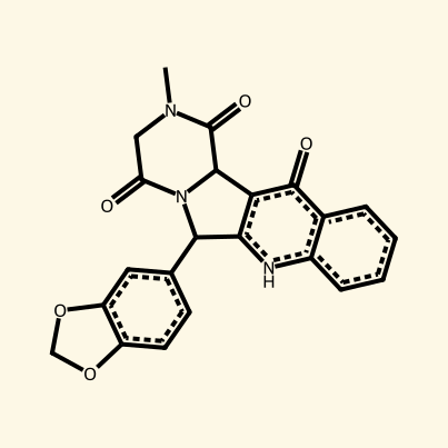 CN1CC(=O)N2C(C1=O)c1c([nH]c3ccccc3c1=O)C2c1ccc2c(c1)OCO2